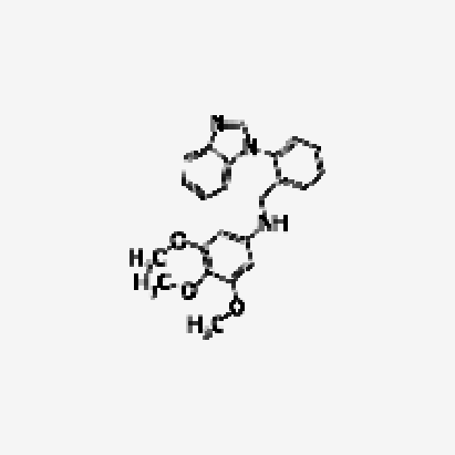 COc1cc(NCc2ccccc2-n2cnc3ccccc32)cc(OC)c1OC